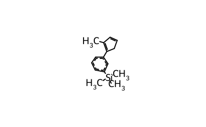 CC1=C(c2cccc([Si](C)(C)C)c2)CC=C1